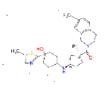 Cc1cnc(C2(O)CCC(N[C@@H]3CC[C@@](C(=O)N4CCc5ccc(C(F)(F)F)cc5C4)(C(C)C)C3)CC2)s1